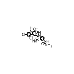 NC(=O)Nc1ccc(NC(=O)/C=C/c2c(C(=O)[O-])[nH]c3cc(Cl)cc(Cl)c23)cc1.[Na+]